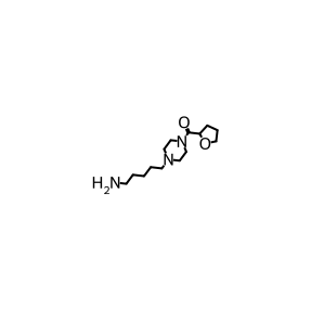 NCCCCCN1CCN(C(=O)C2CCCO2)CC1